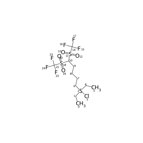 CCS(Cl)(CC)CCCCC(S(=O)(=O)C(F)(F)F)S(=O)(=O)C(F)(F)F